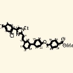 CCn1cc(-c2ccc(Cl)cc2Cl)nc1C=Cc1cccc(-c2ccc(OCc3ccc(C(=O)OC)cc3)cc2)c1